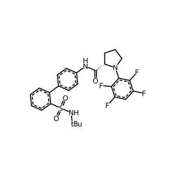 CC(C)(C)NS(=O)(=O)c1ccccc1-c1ccc(NC(=O)[C@@H]2CCCN2c2c(F)c(F)cc(F)c2F)cc1